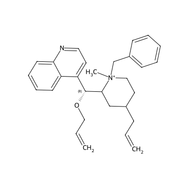 C=CCO[C@H](c1ccnc2ccccc12)C1CC(CC=C)CC[N+]1(C)Cc1ccccc1